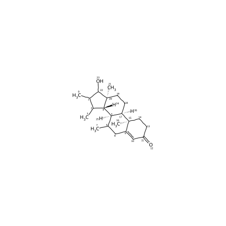 CC1C(C)[C@H]2[C@@H]3C(C)CC4=CC(=O)CC[C@]4(C)[C@@H]3CC[C@]2(C)C1O